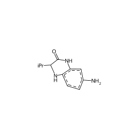 CC(C)C1Nc2ccc(N)cc2NC1=O